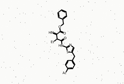 CCC(C(=N)C(=O)OCc1ccccc1)C(=O)Nc1ncc(Cc2ccc(C(C)=O)cc2)s1